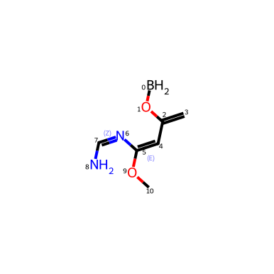 BOC(=C)/C=C(\N=C/N)OC